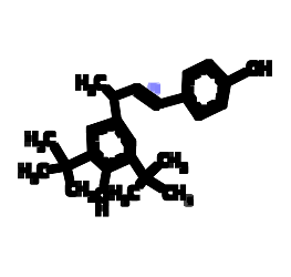 CC(/C=C/c1ccc(O)cc1)c1cc(C(C)(C)C)c(O)c(C(C)(C)C)c1